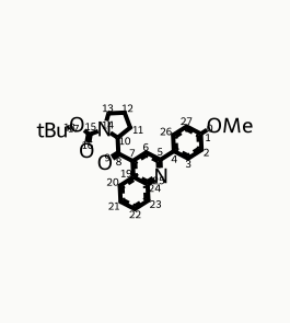 COc1ccc(-c2cc(C(=O)C3CCCN3C(=O)OC(C)(C)C)c3ccccc3n2)cc1